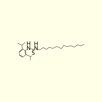 CCCCCCCCCCCCCCNC(=S)Nc1c(C(C)C)cccc1C(C)C